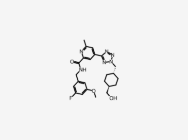 COc1cc(F)cc(CNC(=O)c2cc(-c3nnn(C[C@H]4CC[C@H](CO)CC4)n3)cc(C)n2)c1